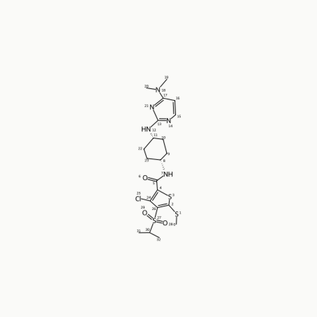 CSc1sc(C(=O)N[C@H]2CC[C@@H](Nc3nccc(N(C)C)n3)CC2)c(Cl)c1S(=O)(=O)C(C)C